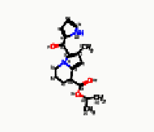 Cc1cc2n(c1C(=O)c1ccc[nH]1)CCCC2C(=O)OC(C)C